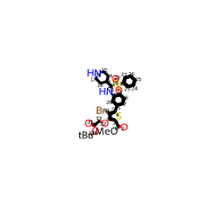 COC(=O)c1sc(-c2cccc(NC(C3CCNCC3)S(=O)(=O)c3ccccc3)c2)c(Br)c1OCC(=O)OC(C)(C)C